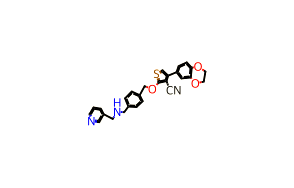 N#Cc1c(-c2ccc3c(c2)OCCO3)csc1OCc1ccc(CNCc2cccnc2)cc1